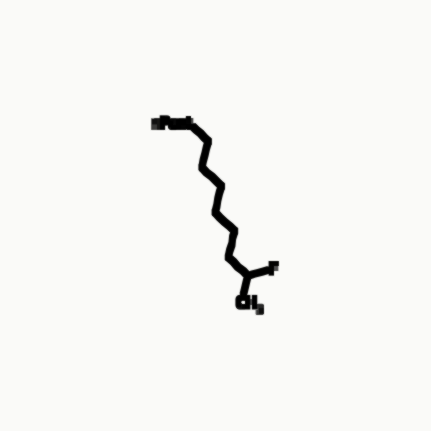 [CH2]CCCCCCCCCCC(C)F